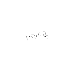 Cc1cc(Cl)cc(-c2ccc3cc(-c4ccc(-c5cccc6c5sc5ccccc56)nc4)cnc3c2)c1